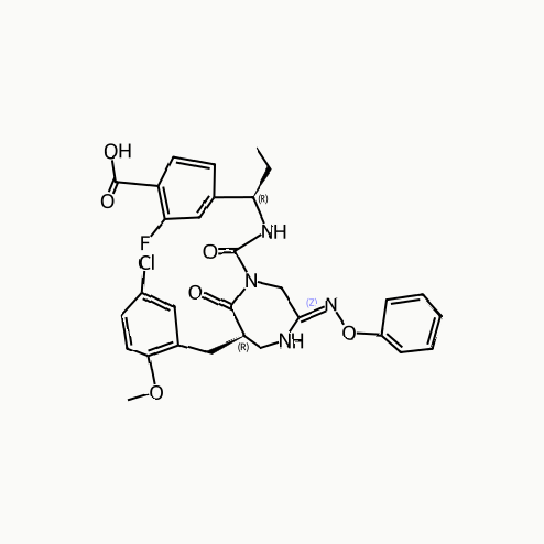 CC[C@@H](NC(=O)N1C/C(=N/Oc2ccccc2)NC[C@@H](Cc2cc(Cl)ccc2OC)C1=O)c1ccc(C(=O)O)c(F)c1